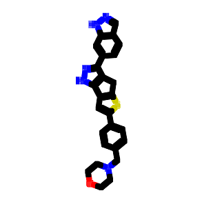 c1cc(-c2cc3c(s2)Cc2c(-c4ccc5cn[nH]c5c4)n[nH]c2-3)ccc1CN1CCOCC1